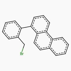 BrCc1ccccc1-c1cccc2c1ccc1ccccc12